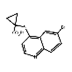 CCOC(=O)C1(Sc2ccnc3ccc(Br)cc23)CC1